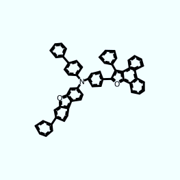 c1ccc(-c2ccc(N(c3ccc(-c4oc5c6ccccc6c6ccccc6c5c4-c4ccccc4)cc3)c3ccc4c(c3)oc3cc(-c5ccccc5)ccc34)cc2)cc1